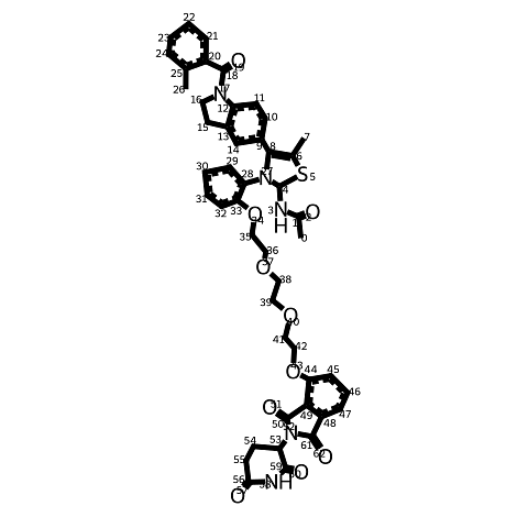 CC(=O)NC1SC(C)=C(c2ccc3c(c2)CCN3C(=O)c2ccccc2C)N1c1ccccc1OCCOCCOCCOc1cccc2c1C(=O)N(C1CCC(=O)NC1=O)C2=O